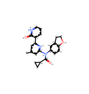 Cc1cc(-c2ccc[nH]c2=O)nc(N(C(=O)C2CC2)c2ccc3c(c2)CCO3)c1